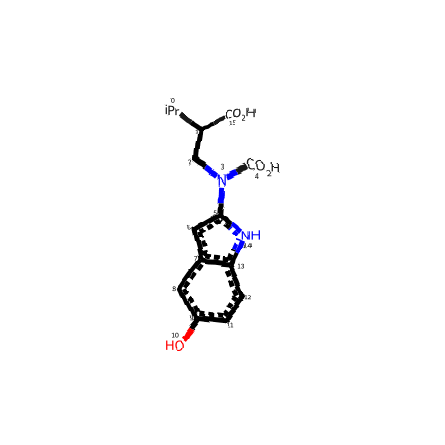 CC(C)C(CN(C(=O)O)c1cc2cc(O)ccc2[nH]1)C(=O)O